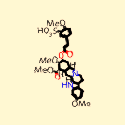 COC(=O)[C@H]1[C@H]2C[C@@H]3c4[nH]c5cc(OC)ccc5c4CCN3C[C@H]2C[C@@H](OC(=O)/C=C/c2ccc(OC)c(S(=O)(=O)O)c2)[C@@H]1OC